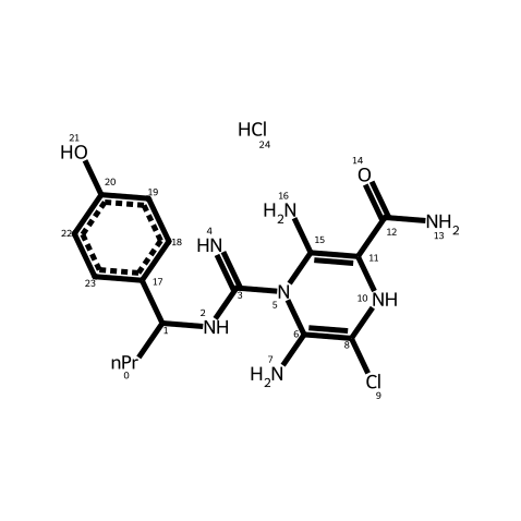 CCCC(NC(=N)N1C(N)=C(Cl)NC(C(N)=O)=C1N)c1ccc(O)cc1.Cl